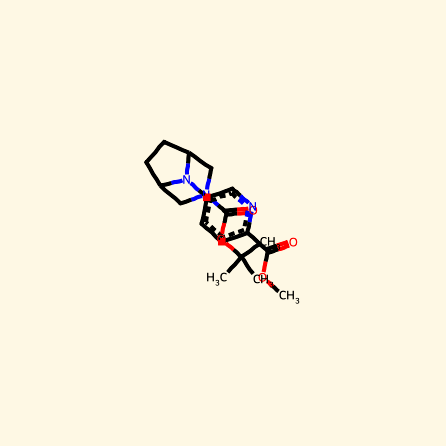 COC(=O)c1ccc(N2C3CCC2CN(C(=O)OC(C)(C)C)C3)cn1